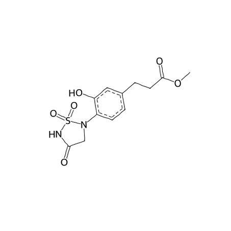 COC(=O)CCc1ccc(N2CC(=O)NS2(=O)=O)c(O)c1